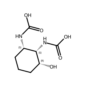 O=C(O)N[C@@H]1[C@H](O)CCC[C@@H]1NC(=O)O